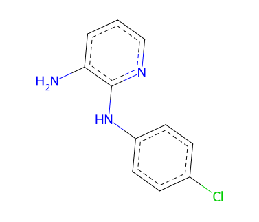 Nc1cccnc1Nc1ccc(Cl)cc1